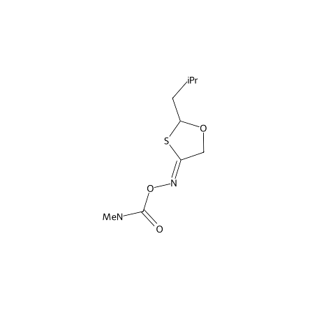 CNC(=O)ON=C1COC(CC(C)C)S1